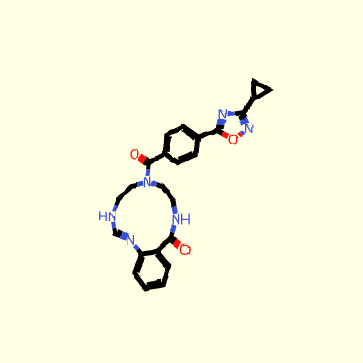 O=C1NCCN(C(=O)c2ccc(-c3nc(C4CC4)no3)cc2)CCN/C=N/c2ccccc21